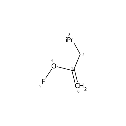 C=C(CC(C)C)OF